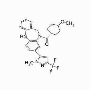 CO[C@H]1CC[C@H](C(=O)N2Cc3cccnc3Nc3ccc(-c4cc(C(F)(F)F)nn4C)cc32)CC1